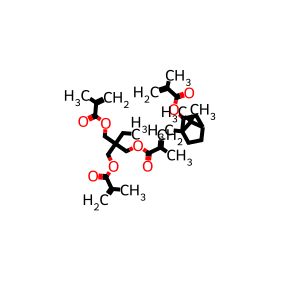 C=C(C)C(=O)OC1CC2CCC1(C)C2(C)C.C=C(C)C(=O)OCC(CC)(COC(=O)C(=C)C)COC(=O)C(=C)C